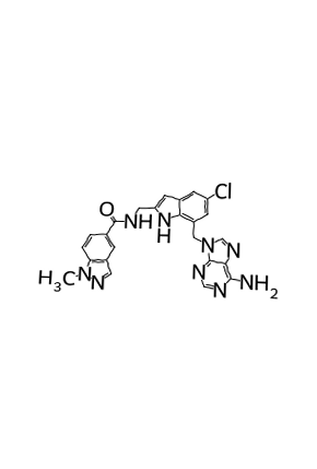 Cn1ncc2cc(C(=O)NCc3cc4cc(Cl)cc(Cn5cnc6c(N)ncnc65)c4[nH]3)ccc21